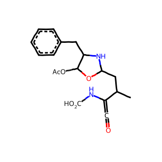 CC(=O)OC1OC(CC(C)C(=C=O)NC(=O)O)NC1Cc1ccccc1